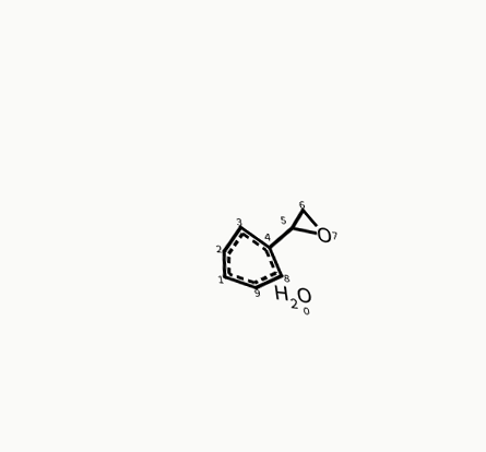 O.c1ccc(C2CO2)cc1